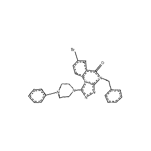 O=c1c2cc(Br)ccc2n2c(N3CCN(c4ccccc4)CC3)nnc2n1Cc1ccccc1